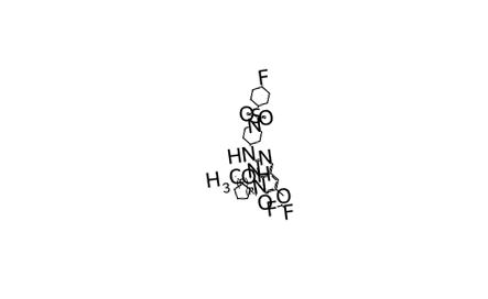 C[C@@]1(O)CCC[C@H]1n1c(=O)c(OC(F)F)cc2cnc(NC3CCN(S(=O)(=O)C4CCC(F)CC4)CC3)nc21